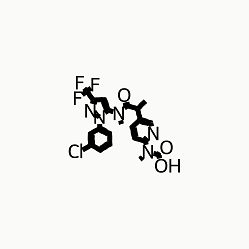 CC(C(=O)N(C)c1cc(C(F)(F)F)nn1-c1cccc(Cl)c1)c1ccc(N(C)C(=O)O)nc1